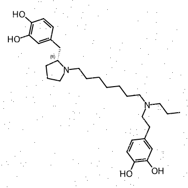 CCCN(CCCCCCCN1CCC[C@@H]1Cc1ccc(O)c(O)c1)CCc1ccc(O)c(O)c1